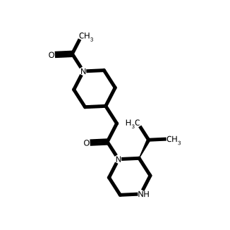 CC(=O)N1CCC(CC(=O)N2CCNC[C@@H]2C(C)C)CC1